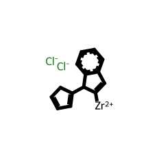 [Cl-].[Cl-].[Zr+2][C]1=Cc2ccccc2C1C1=CC=CC1